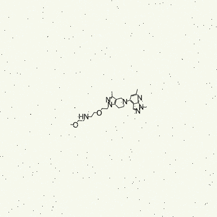 COCCNCCOCCn1nc(C)c2c1CCN(c1cc(C)nc3c1cnn3C)C2